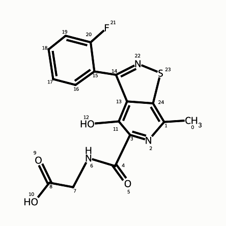 Cc1nc(C(=O)NCC(=O)O)c(O)c2c(-c3ccccc3F)nsc12